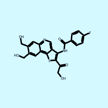 O=C(Nc1c(C(=O)CO)sc2c1cnc1cc(CO)c(CO)cc12)c1ccc(F)cc1